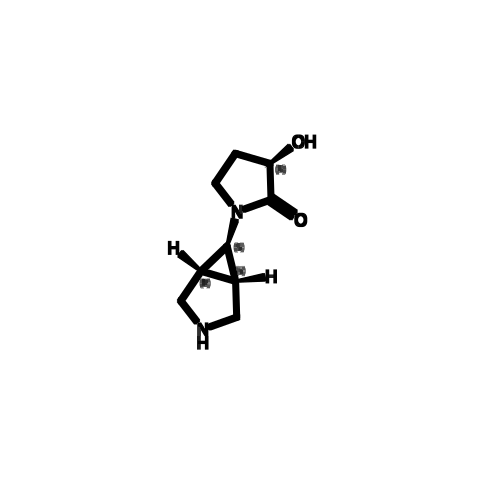 O=C1[C@H](O)CCN1[C@H]1[C@@H]2CNC[C@@H]21